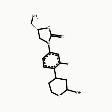 NC[C@H]1CN(c2ccc(C3CCSC(O)C3)c(F)c2)C(=O)O1